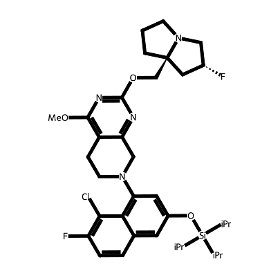 COc1nc(OC[C@@]23CCCN2C[C@H](F)C3)nc2c1CCN(c1cc(O[Si](C(C)C)(C(C)C)C(C)C)cc3ccc(F)c(Cl)c13)C2